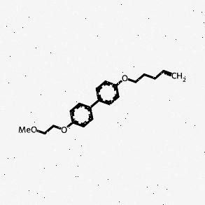 C=CCCCOc1ccc(-c2ccc(OCCOC)cc2)cc1